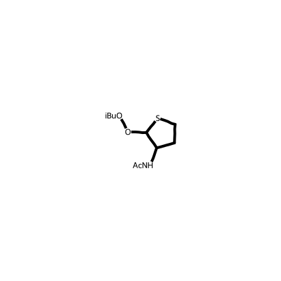 CC(=O)NC1CCSC1OOCC(C)C